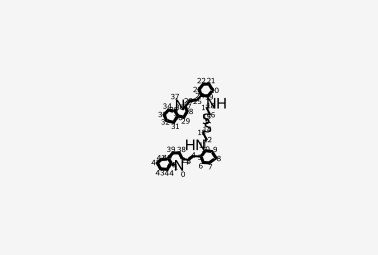 C[n+]1c(/C=C/c2ccccc2NCCSSCCNc2ccccc2/C=C/c2ccc3ccccc3[n+]2C)ccc2ccccc21